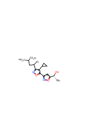 CCC(CC(C(=O)O)C(=O)O)c1noc(-c2cc([C@H](O)C(C)(C)C)on2)c1C1CC1